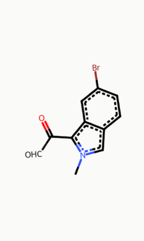 Cn1cc2ccc(Br)cc2c1C(=O)C=O